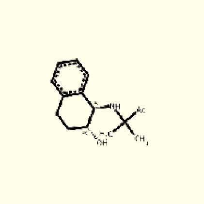 CC(=O)C(C)(C)N[C@@H]1c2ccccc2CC[C@H]1O